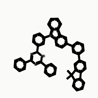 CC1(C)c2ccccc2-c2ccc(-c3cccc(-c4ccc5c(c4)c4ccccc4n5-c4cccc(C5N=C(c6ccccc6)N=C(c6ccccc6)N5)c4)c3)cc21